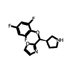 Fc1cc(F)c(OC(c2ncco2)[C@@H]2CCNC2)c(F)c1